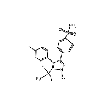 CCn1nc(-c2ccc(S(N)(=O)=O)cc2)c(-c2ccc(C)cc2)c1C(F)(F)C(F)(F)F